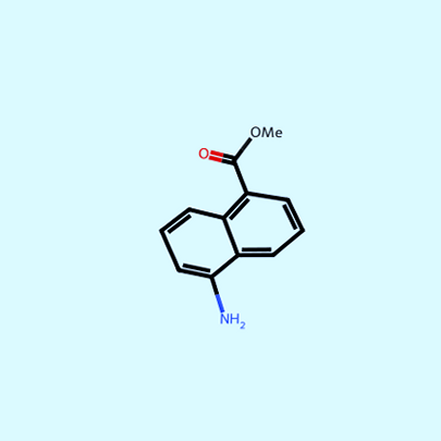 COC(=O)c1cccc2c(N)cccc12